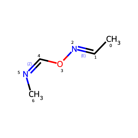 C/C=N/O/C=N\C